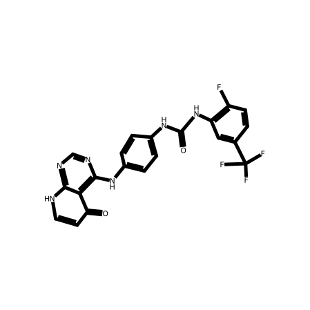 O=C(Nc1ccc(Nc2ncnc3[nH]ccc(=O)c23)cc1)Nc1cc(C(F)(F)F)ccc1F